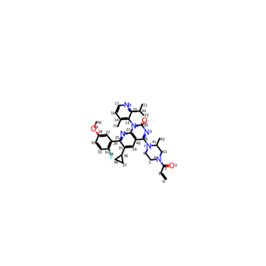 C=CC(=O)N1CCN(c2nc(=O)n(-c3c(C)ccnc3C(C)C)c3nc(-c4cc(OC)ccc4F)c(C4CC4)cc23)C(C)C1